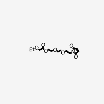 [CH2]COCC(=O)OCCOCCOCCN1C(=O)C=CC1=O